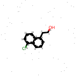 OCCc1cccc2c(Cl)cccc12